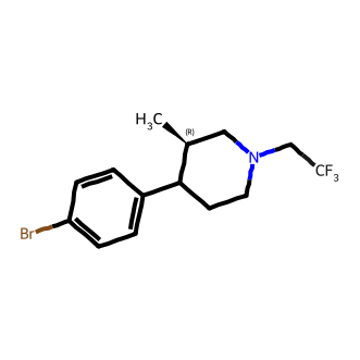 C[C@H]1CN(CC(F)(F)F)CCC1c1ccc(Br)cc1